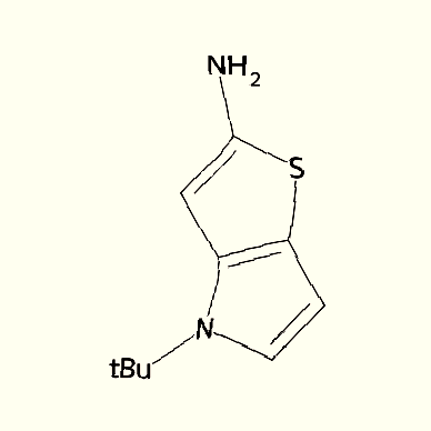 CC(C)(C)n1ccc2sc(N)cc21